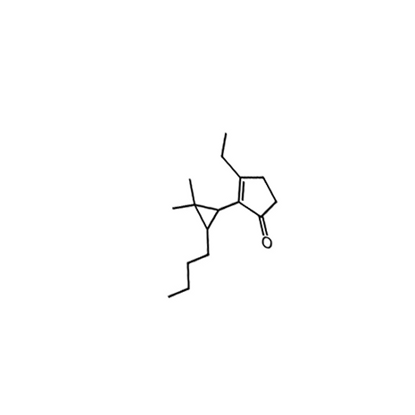 CCCCC1C(C2=C(CC)CCC2=O)C1(C)C